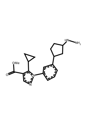 COC(=O)c1cnn(-c2cccc(C3CCC(NN)C3)c2)c1C1CC1